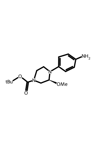 CO[C@H]1CN(C(=O)OC(C)(C)C)CCN1c1ccc(N)cc1